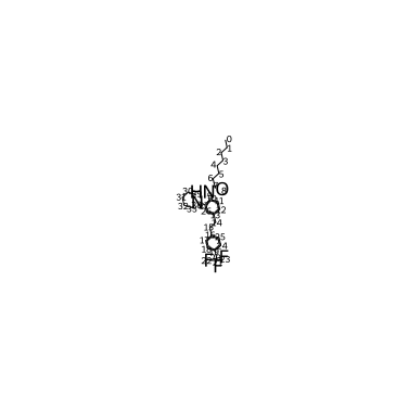 CCCCCCCC(=O)Nc1ccc(CCc2ccc(C(F)(F)F)cc2)cc1N1CCCCC1